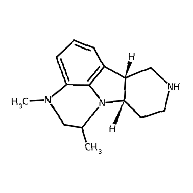 CC1CN(C)c2cccc3c2N1[C@H]1CCNC[C@@H]31